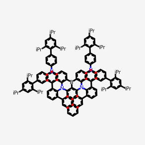 CC(C)c1cc(C(C)C)c(-c2ccc(N(c3ccc(-c4c(C(C)C)cc(C(C)C)cc4C(C)C)cc3)c3ccc4c(c3)N(c3c(-c5ccccc5)cccc3-c3ccccc3)c3cc(-c5ccccc5)cc5c3B4c3ccc(N(c4ccc(-c6c(C(C)C)cc(C(C)C)cc6C(C)C)cc4)c4ccc(-c6c(C(C)C)cc(C(C)C)cc6C(C)C)cc4)cc3N5c3c(-c4ccccc4)cccc3-c3ccccc3)cc2)c(C(C)C)c1